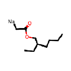 CCCCC(CC)COC(=O)[CH2][Na]